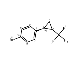 FC(F)(F)C1C[C@@H]1c1ccc(Br)cc1